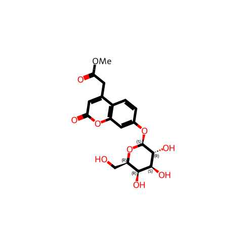 COC(=O)Cc1cc(=O)oc2cc(O[C@@H]3O[C@H](CO)[C@H](O)[C@H](O)[C@H]3O)ccc12